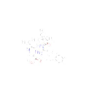 CC1=CN(N2CCC3(Cc4ccccc4C3)C[C@H]2N[S+]([O-])C(C)(C)C)[C@H](C(=O)O)C=N1